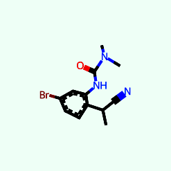 CC(C#N)c1ccc(Br)cc1NC(=O)N(C)C